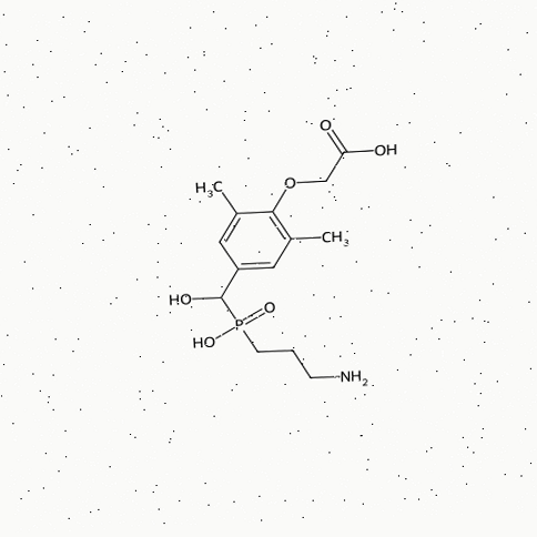 Cc1cc(C(O)P(=O)(O)CCCN)cc(C)c1OCC(=O)O